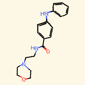 O=C(NCCN1CCOCC1)c1ccc(Nc2ccccc2)cc1